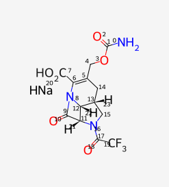 NC(=O)OCC1=C(C(=O)O)N2C(=O)[C@@H]3[C@H]2[C@H](C1)CN3C(=O)C(F)(F)F.[NaH]